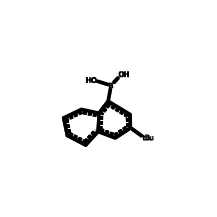 CC(C)(C)c1cc(B(O)O)c2ccccc2c1